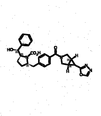 O=C(c1ccc(C[C@@H]2CC[C@H]([C@H](O)c3ccccc3)N2C(=O)O)cc1)N1C[C@@H]2C(c3nnco3)[C@@H]2C1